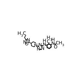 CCCc1noc(C2CCN(c3ncnc(Nc4cccc(NC(C)=O)c4C)n3)CC2)n1